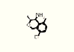 Cc1ccc(Cl)c2c1C(N)[C@H](C)OC2